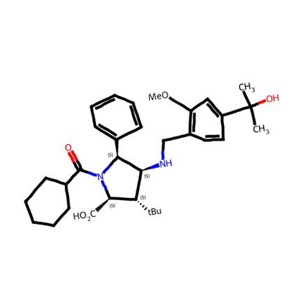 COc1cc(C(C)(C)O)ccc1CN[C@H]1[C@H](C(C)(C)C)[C@@H](C(=O)O)N(C(=O)C2CCCCC2)[C@H]1c1ccccc1